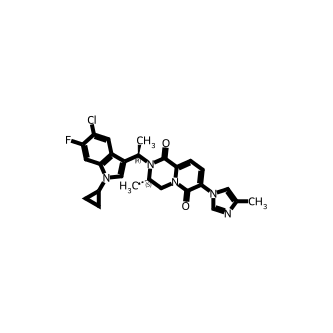 Cc1cn(-c2ccc3n(c2=O)C[C@H](C)N([C@H](C)c2cn(C4CC4)c4cc(F)c(Cl)cc24)C3=O)cn1